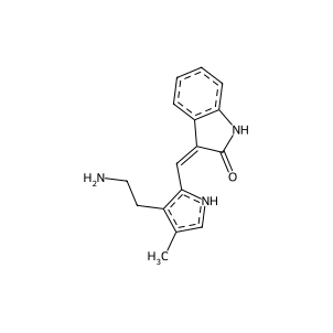 Cc1c[nH]c(C=C2C(=O)Nc3ccccc32)c1CCN